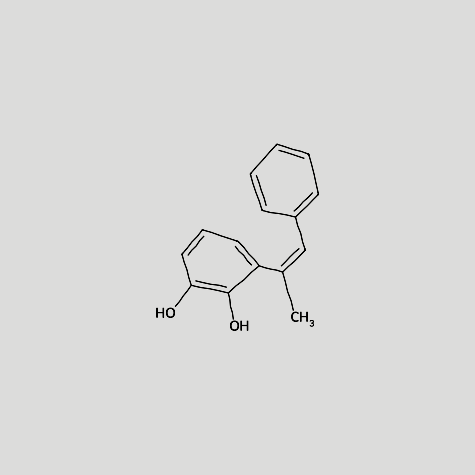 CC(=Cc1ccccc1)c1cccc(O)c1O